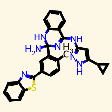 Cc1ccc(-c2nc3ccccc3s2)cc1C1(N)N=C(Nc2cc(C3CC3)[nH]n2)c2ccccc2N1